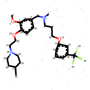 COc1cc(CN(C)CCCOc2cccc(C(F)(F)F)c2)ccc1OCCN1CCC(C)CC1